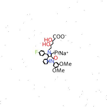 COc1cc(NC(=O)c2c(-c3ccccc3)c(-c3ccc(F)cc3)n(CC[C@@H](O)C[C@@H](O)CC(=O)[O-])c2C(C)C)cc(OC)c1.[Na+]